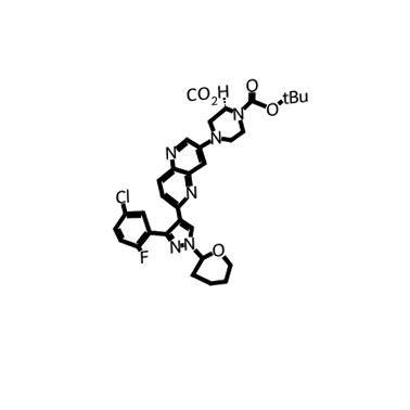 CC(C)(C)OC(=O)N1CCN(c2cnc3ccc(-c4cn(C5CCCCO5)nc4-c4cc(Cl)ccc4F)nc3c2)C[C@@H]1C(=O)O